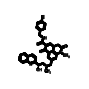 CN(Cc1cc2c3c(c1)c(=O)c(C(=O)NCc1ccc(Cl)cc1)cn3CC(=O)N2C)C[C@H](O)c1ccc2ccccc2n1